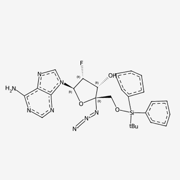 CC(C)(C)[Si](OC[C@@]1(N=[N+]=[N-])O[C@@H](n2cnc3c(N)ncnc32)[C@H](F)[C@@H]1O)(c1ccccc1)c1ccccc1